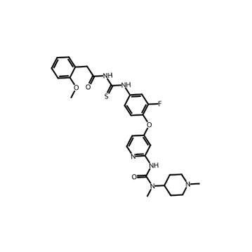 COc1ccccc1CC(=O)NC(=S)Nc1ccc(Oc2ccnc(NC(=O)N(C)C3CCN(C)CC3)c2)c(F)c1